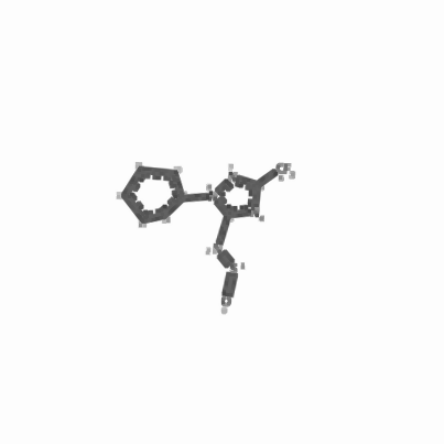 O=S=Nc1nc(C(F)(F)F)nn1-c1ccccc1